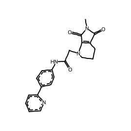 CN1C(=O)C2=C(C1=O)N(CC(=O)Nc1ccc(-c3ccccn3)cc1)CCC2